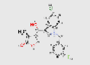 C=C1C(=O)OCC1C(O)c1cn(Cc2cccc(F)c2)c2ccc(Cl)cc12